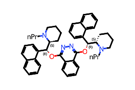 CCCN1CCCC[C@H]1[C@H](Oc1nnc(O[C@H](c2cccc3ccccc23)[C@@H]2CCCCN2CCC)c2ccccc12)c1cccc2ccccc12